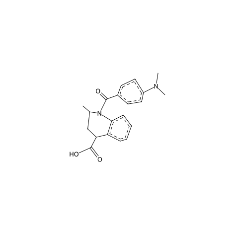 CC1CC(C(=O)O)c2ccccc2N1C(=O)c1ccc(N(C)C)cc1